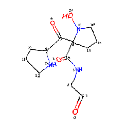 O=[C]CNC(=O)C1(C(=O)C2CCCN2)CCCN1O